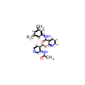 CC(=O)Nc1cnccc1CSc1ncccc1C(=O)Nc1cc(C)cc(C)c1